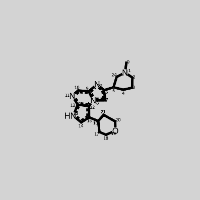 CN1CCCC(c2cn3c(cnc4[nH]cc(C5CCOCC5)c43)n2)C1